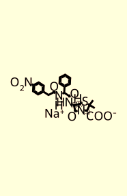 CC1(C)S[C@@H]2[C@H](NC(=O)C(NC(=O)Cc3ccc([N+](=O)[O-])cc3)c3ccccc3)C(=O)N2[C@H]1C(=O)[O-].[Na+]